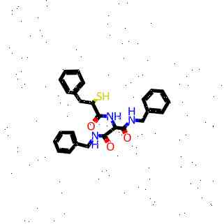 O=C(NC(C(=O)NCc1ccccc1)C(=O)NCc1ccccc1)C(S)Cc1ccccc1